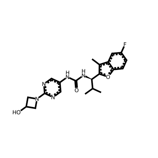 Cc1c([C@H](NC(=O)Nc2cnc(N3CC(O)C3)nc2)C(C)C)oc2ccc(F)cc12